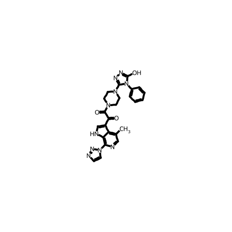 Cc1cnc(-n2ccnn2)c2[nH]cc(C(=O)C(=O)N3CCN(c4nnc(O)n4-c4ccccc4)CC3)c12